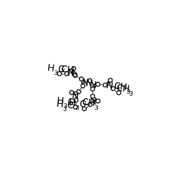 CC1(C)c2ccccc2-c2ccc(-n3c4ccccc4c4cc(-c5ccc6c(c5)c5cc(-c7ccc8c(c7)c7ccccc7n8-c7ccc8c(c7)C(C)(C)c7ccccc7-8)ccc5n6-c5cccc(-n6c7ccc(-c8ccc9c(c8)c8ccccc8n9-c8ccc9c(c8)C(C)(C)c8ccccc8-9)cc7c7cc(-c8ccc9c(c8)c8ccccc8n9-c8ccc9c(c8)C(C)(C)c8ccccc8-9)ccc76)n5)ccc43)cc21